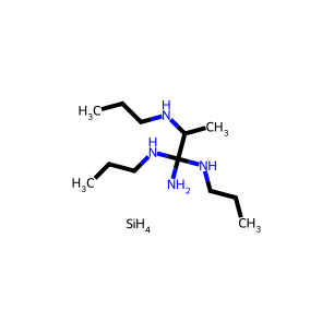 CCCNC(C)C(N)(NCCC)NCCC.[SiH4]